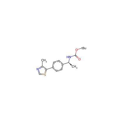 Cc1ncsc1-c1ccc([C@H](C)NC(=O)OC(C)(C)C)cc1